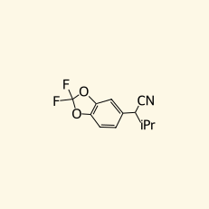 CC(C)C(C#N)c1ccc2c(c1)OC(F)(F)O2